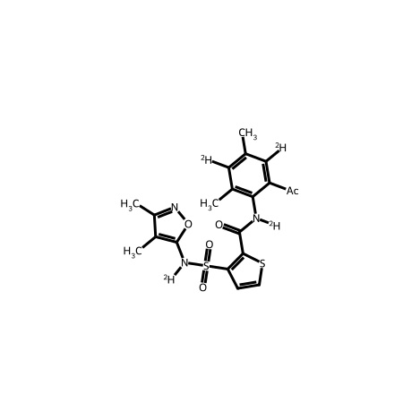 [2H]c1c(C)c([2H])c(C(C)=O)c(N([2H])C(=O)c2sccc2S(=O)(=O)N([2H])c2onc(C)c2C)c1C